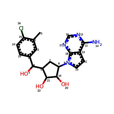 Cc1cc(C(O)C2CC(n3ccc4c(N)ncnc43)C(O)C2O)ccc1Cl